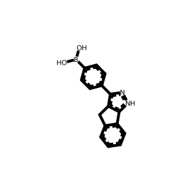 OB(O)c1ccc(-c2n[nH]c3c2Cc2ccccc2-3)cc1